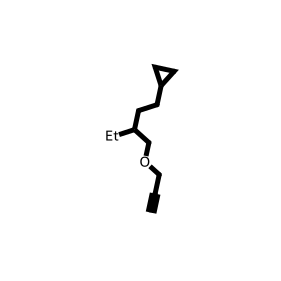 C#CCOCC(CC)CCC1CC1